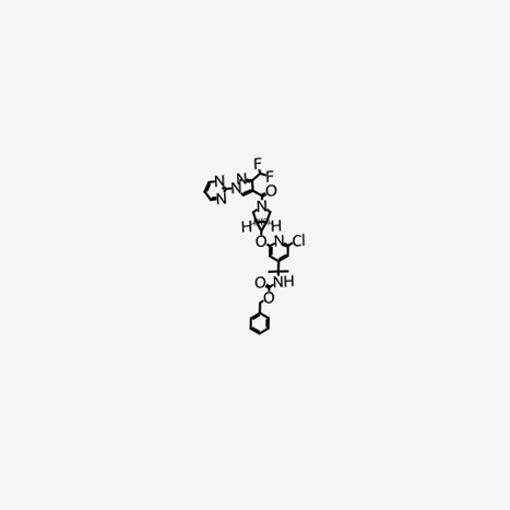 CC(C)(NC(=O)OCc1ccccc1)c1cc(Cl)nc(OC2[C@H]3CN(C(=O)c4cn(-c5ncccn5)nc4C(F)F)C[C@@H]23)c1